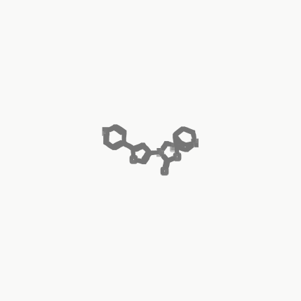 O=C1O[C@]2(CN3CCC2CC3)CN1c1coc(-c2ccncc2)c1